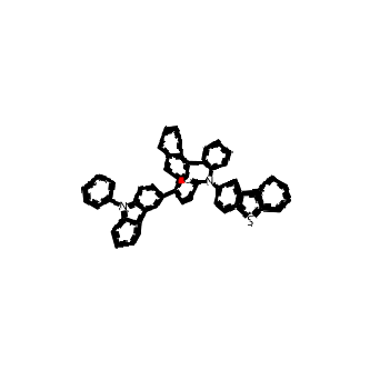 c1ccc(-n2c3ccccc3c3cc(-c4ccc(N(c5ccc6sc7ccccc7c6c5)c5ccccc5-c5cccc6ccccc56)cc4)ccc32)cc1